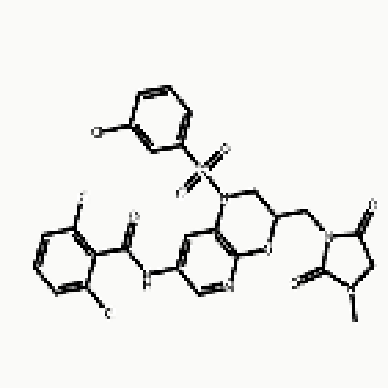 CN1CC(=O)N(CC2CN(S(=O)(=O)c3cccc(Cl)c3)c3cc(NC(=O)c4c(Cl)cccc4Cl)cnc3O2)C1=O